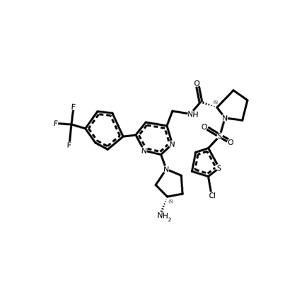 N[C@H]1CCN(c2nc(CNC(=O)[C@@H]3CCCN3S(=O)(=O)c3ccc(Cl)s3)cc(-c3ccc(C(F)(F)F)cc3)n2)C1